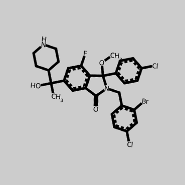 COC1(c2ccc(Cl)cc2)c2c(F)cc(C(C)(O)C3CCNCC3)cc2C(=O)N1Cc1ccc(Cl)cc1Br